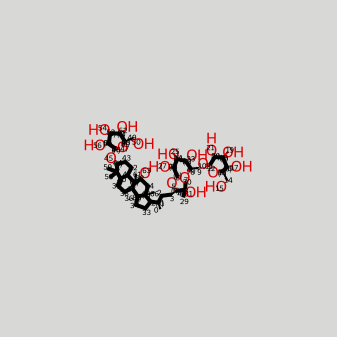 C[C@H](CC[C@@H](O[C@@H]1O[C@H](COC2O[C@H](CO)[C@@H](O)[C@H](O)[C@H]2O)[C@@H](O)[C@H](O)[C@H]1O)C(C)(C)O)C1CC[C@@]2(C)C3CC=C4C(CC[C@H](O[C@@H]5O[C@H](CO)[C@@H](O)[C@H](O)[C@H]5O)C4(C)C)[C@]3(C)C(=O)C[C@]12C